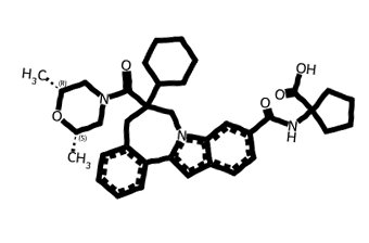 C[C@@H]1CN(C(=O)C2(C3CCCCC3)Cc3ccccc3-c3cc4ccc(C(=O)NC5(C(=O)O)CCCC5)cc4n3C2)C[C@H](C)O1